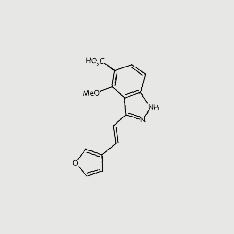 COc1c(C(=O)O)ccc2[nH]nc(C=Cc3ccoc3)c12